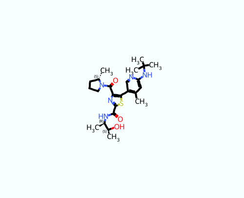 Cc1cc(NC(C)(C)C)ncc1-c1sc(C(=O)N[C@H](C)[C@H](C)O)nc1C(=O)N1CCC[C@@H]1C